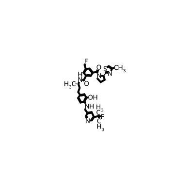 Cc1csc([C@H]2CCCN2C(=O)c2cc(CF)cc(C(=O)N[C@@H](C)CCc3ccc(NCc4cncc(C(C)(C)F)c4)c(O)c3)c2)n1